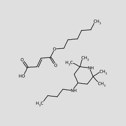 CCCCCCOC(=O)C=CC(=O)O.CCCCNC1CC(C)(C)NC(C)(C)C1